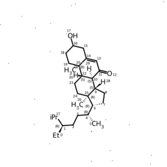 CC[C@H](CC[C@@H](C)[C@H]1CC[C@H]2[C@@H]3C(=O)C=C4CC(O)CC[C@]4(C)[C@H]3CC[C@]12C)C(C)C